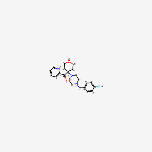 O=C(c1ccccn1)C1(N2CCN(Cc3ccc(F)cc3)CC2)CCOCC1